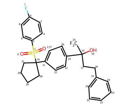 O=S(=O)(c1ccc(F)cc1)C1(c2ccc(C(O)(CCc3ccccc3)C(F)(F)F)cc2)CCCC1